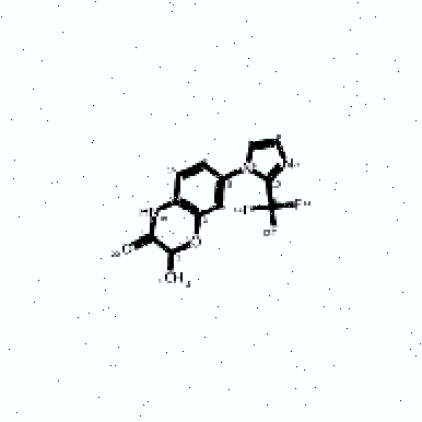 CC1Oc2cc(-n3ccnc3C(F)(F)F)ccc2NC1=O